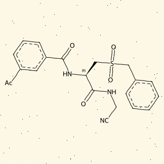 CC(=O)c1cccc(C(=O)N[C@@H](CS(=O)(=O)Cc2ccccc2)C(=O)NCC#N)c1